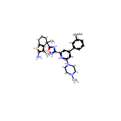 CNc1cccc(-c2cc(-c3noc(C4(C)CCCc5sc(N)c(C#N)c54)n3)nc(N3CCN(C)CC3)c2)c1